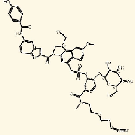 COc1ccc2c(OS(=O)(=O)Oc3cc(C(=O)N(C)CCOCCN=[N+]=[N-])ccc3O[C@@H]3O[C@H](CO)[C@H](O)[C@H](O)[C@@H]3O)cc3c(c2c1)[C@H](CCl)CN3C(=O)c1cn2cc(NC(=O)c3ccc(O)cc3)ccc2n1